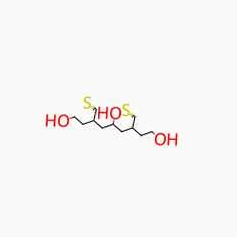 OCCC(C=S)CC(O)CC(C=S)CCO